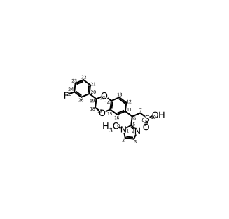 Cn1ccnc1C(CS(=O)O)c1ccc2c(c1)OCC(c1cccc(F)c1)O2